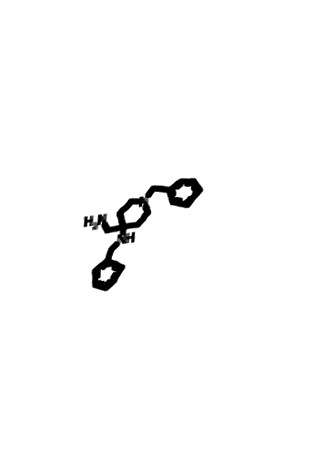 NCC1(NCc2ccccc2)CCN(Cc2ccccc2)CC1